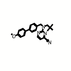 COc1ccc(-c2ccc(CN(CC(C)(C)C)c3nccc(C#N)n3)cc2)cc1